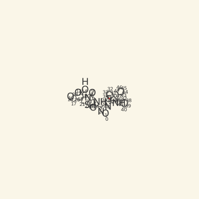 CO/N=C(/C(=O)N[C@@H]1C(=O)N2C(C(=O)O)=C(C3CCOC3)CS[C@H]12)c1csc(NC(c2ccccc2)(c2ccccc2)c2ccccc2)n1